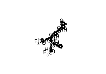 Cc1cc(=O)oc2cc(NC(=O)OCc3ccc(NC(=O)[C@H](CCCCNC(=O)C(F)(F)F)NC(=O)[C@H](CCCCNC(=O)C(F)(F)F)NC(=O)OCc4ccccc4)cc3)ccc12